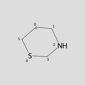 [C]1CNCSC1